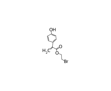 C=C(C(=O)OCCBr)c1ccc(O)cc1